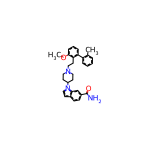 COc1cccc(-c2ccccc2C)c1CCN1CCC(n2ccc3ccc(C(N)=O)cc32)CC1